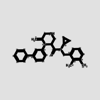 C=C1CNCC(C(=O)N(Cc2cccc(C)c2C)C2CC2)N1c1cccc(-c2ccccc2)c1